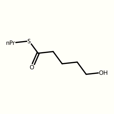 CCCSC(=O)CCCCO